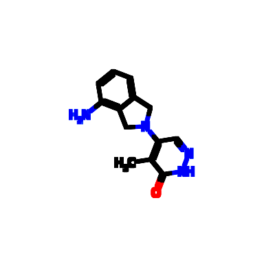 Cc1c(N2Cc3cccc(N)c3C2)cn[nH]c1=O